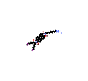 NCCCCCCCCCN1C(=O)c2ccc3c4ccc5c6c(ccc(c7ccc(c2c37)C1=O)c64)C(=O)N(C(CCCCCI)CCCCCI)C5=O